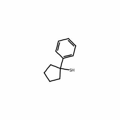 SC1(c2ccccc2)CCCC1